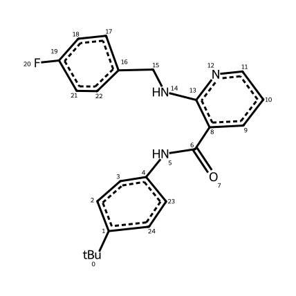 CC(C)(C)c1ccc(NC(=O)c2cccnc2NCc2ccc(F)cc2)cc1